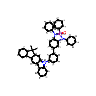 CC1(C)c2ccccc2-c2cc3c4ccccc4n(-c4cccc(-c5ccc6c(c5)N(c5ccccc5)P(=O)(c5ccccc5)N6c5ccccc5)c4)c3cc21